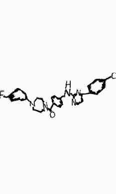 O=C(c1ccc(Nc2nccc(-c3ccc(Cl)cc3)n2)cc1)N1CCN(c2ccc(F)cc2)CC1